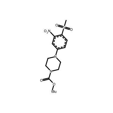 CC(C)(C)OC(=O)N1CCN(c2ccc(S(C)(=O)=O)c([N+](=O)[O-])c2)CC1